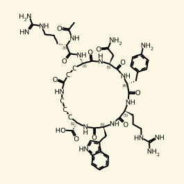 CC(=O)N[C@@H](CCCNC(=N)N)C(=O)N[C@H]1CCC(=O)NCCC[C@@H](C(=O)O)NC(=O)[C@H](Cc2c[nH]c3ccccc23)NC(=O)[C@H](CCCNC(=N)N)NC(=O)[C@@H](Cc2ccc(N)cc2)NC(=O)[C@H](CC(N)=O)NC1=O